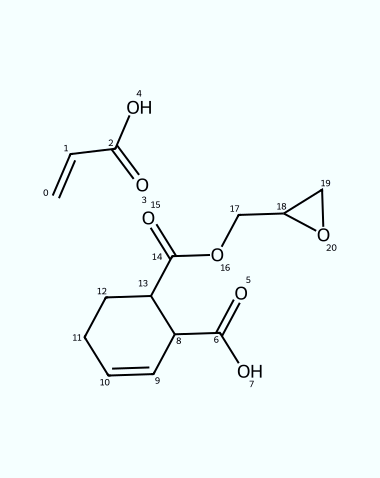 C=CC(=O)O.O=C(O)C1C=CCCC1C(=O)OCC1CO1